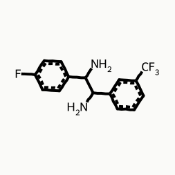 NC(c1ccc(F)cc1)C(N)c1cccc(C(F)(F)F)c1